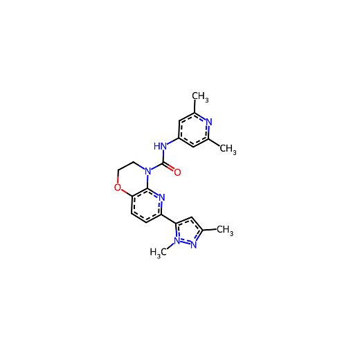 Cc1cc(NC(=O)N2CCOc3ccc(-c4cc(C)nn4C)nc32)cc(C)n1